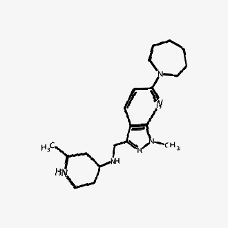 CC1CC(NCc2nn(C)c3nc(N4CCCCCC4)ccc23)CCN1